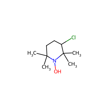 CC1(C)CCC(Cl)C(C)(C)N1O